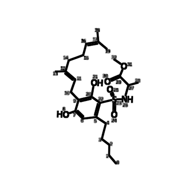 CCCCCc1cc(O)c(C/C=C(\C)CCC=C(C)C)c(O)c1S(=O)(=O)NC(C)C(=O)OC